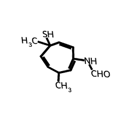 CC1/C=C\C(C)(S)/C=C\C(NC=O)=C/1